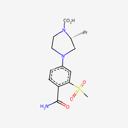 CC(C)[C@@H]1CN(c2ccc(C(N)=O)c(S(C)(=O)=O)c2)CCN1C(=O)O